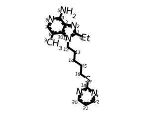 CCc1nc2c(N)ncc(C)c2n1CCCCCSc1ncccn1